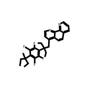 CCC(C)(CC)c1c(F)c(F)c(C(CC)(CC)Cc2ccnc3c2ccc2cccnc23)c(F)c1F